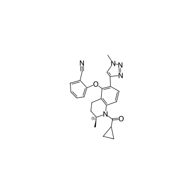 C[C@H]1CCc2c(ccc(-c3cn(C)nn3)c2Oc2ccccc2C#N)N1C(=O)C1CC1